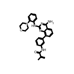 C=C(C)C(=O)Nc1cccc(-c2cccc3c(N)nc(Nc4ccccc4N4CCOCC4)nc23)c1